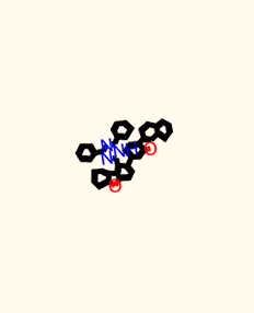 c1ccc(C2=NC(c3c(-c4ccc5c(c4)oc4c6ccccc6ccc54)ccc4oc5ccccc5c34)NC(c3ccccc3)=N2)cc1